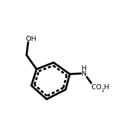 O=C(O)Nc1cccc(CO)c1